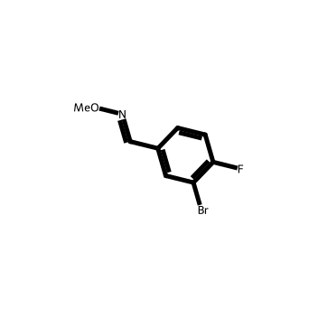 CO/N=C/c1ccc(F)c(Br)c1